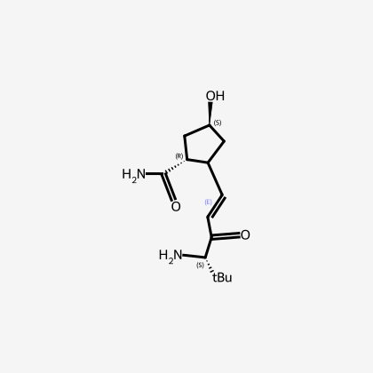 CC(C)(C)[C@H](N)C(=O)/C=C/C1C[C@H](O)C[C@H]1C(N)=O